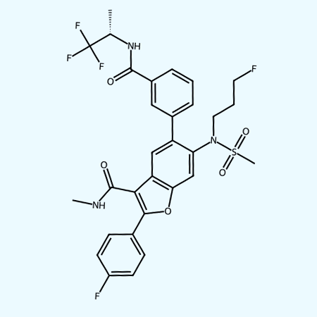 CNC(=O)c1c(-c2ccc(F)cc2)oc2cc(N(CCCF)S(C)(=O)=O)c(-c3cccc(C(=O)N[C@@H](C)C(F)(F)F)c3)cc12